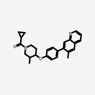 Cc1cc2cccnc2cc1-c1ccc(OC2CCN(C(=O)C3CC3)CC2C)cc1